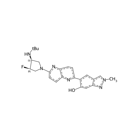 Cn1cc2cc(-c3ccc4nc(N5C[C@@H](F)[C@@H](NC(C)(C)C)C5)ccc4n3)c(O)cc2n1